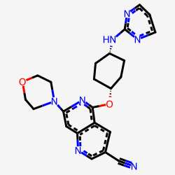 N#Cc1cnc2cc(N3CCOCC3)nc(O[C@H]3CC[C@@H](Nc4ncccn4)CC3)c2c1